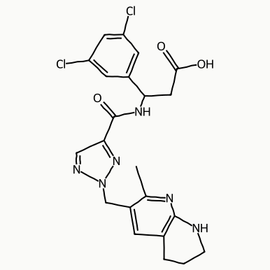 Cc1nc2c(cc1Cn1ncc(C(=O)NC(CC(=O)O)c3cc(Cl)cc(Cl)c3)n1)CCCN2